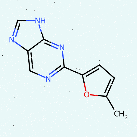 Cc1ccc(-c2ncc3nc[nH]c3n2)o1